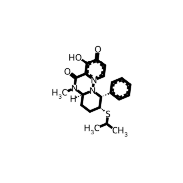 CC(C)S[C@@H]1CC[C@H]2N(C)C(=O)c3c(O)c(=O)ccn3N2[C@@H]1c1ccccc1